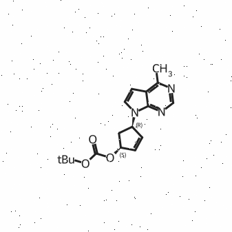 Cc1ncnc2c1ccn2[C@H]1C=C[C@@H](OC(=O)OC(C)(C)C)C1